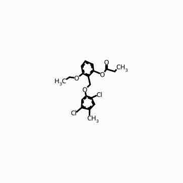 CCOc1cccc(OC(=O)CC)c1COc1cc(Cl)c(C)cc1Cl